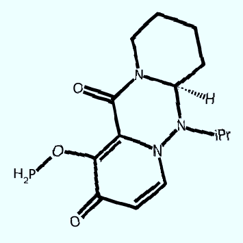 CC(C)N1[C@@H]2CCCCN2C(=O)c2c(OP)c(=O)ccn21